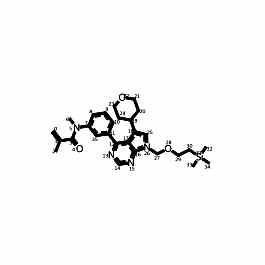 C=C(C)C(=O)N(C)c1cccc(-c2ncnc3c2c(C2CCOCC2)cn3COCC[Si](C)(C)C)c1